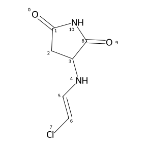 O=C1CC(NC=CCl)C(=O)N1